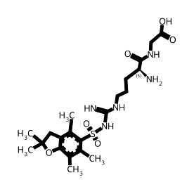 Cc1c(C)c(S(=O)(=O)NC(=N)NCCC[C@H](N)C(=O)NCC(=O)O)c(C)c2c1OC(C)(C)C2